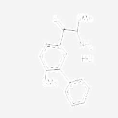 CSc1ccc(C(=S)C(N)SC)cc1-c1ccccc1.Cl